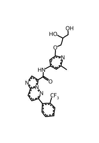 Cc1cc(NC(=O)c2cnc3ccc(-c4ccccc4C(F)(F)F)nn23)cc(OCC(O)CO)n1